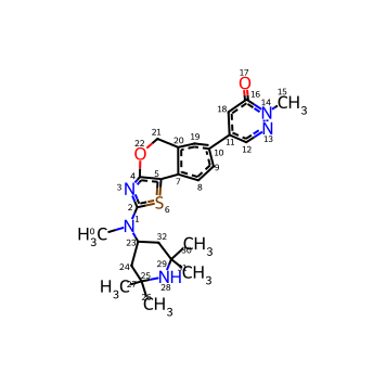 CN(c1nc2c(s1)-c1ccc(-c3cnn(C)c(=O)c3)cc1CO2)C1CC(C)(C)NC(C)(C)C1